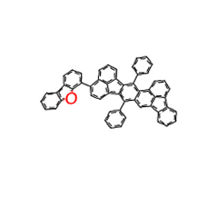 c1ccc(-c2c3cc4c5ccccc5c5cccc(c3c(-c3ccccc3)c3c6cccc7c(-c8cccc9c8oc8ccccc89)ccc(c23)c76)c54)cc1